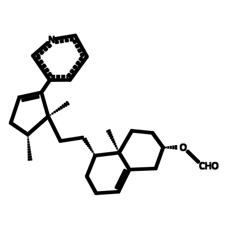 C[C@@H]1CC=C(c2cccnc2)[C@@]1(C)CC[C@H]1CCC=C2C[C@@H](OC=O)CC[C@@]21C